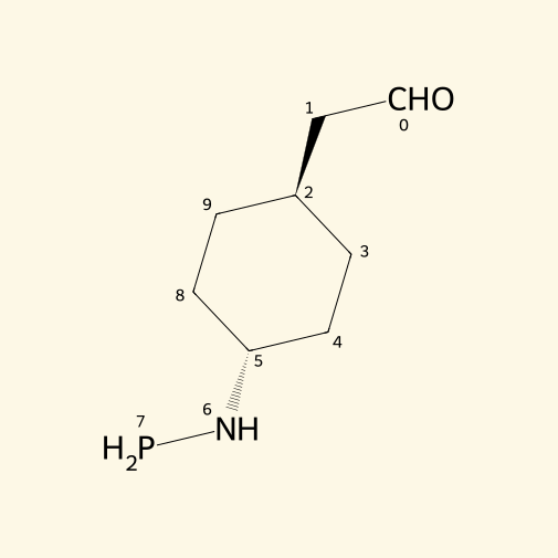 O=CC[C@H]1CC[C@H](NP)CC1